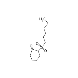 CCCCCCS(=O)(=O)C1CCCCC1=O